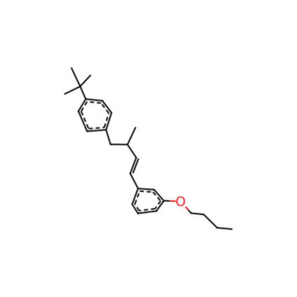 CCCCOc1cccc(C=CC(C)Cc2ccc(C(C)(C)C)cc2)c1